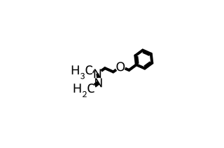 C=NN(C)CCOCc1ccccc1